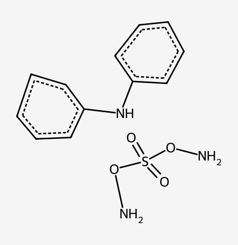 NOS(=O)(=O)ON.c1ccc(Nc2ccccc2)cc1